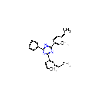 C\C=C/C=C\C(=C/C)c1nc(C(/C=C\C)=C/C=C\C)nc(-c2ccccc2)n1